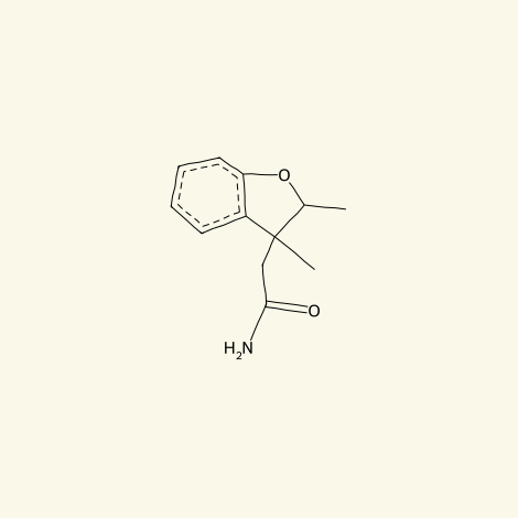 CC1Oc2ccccc2C1(C)CC(N)=O